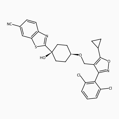 N#Cc1ccc2nc([C@]3(O)CC[C@@H](OCc4c(-c5c(Cl)cccc5Cl)noc4C4CC4)CC3)sc2c1